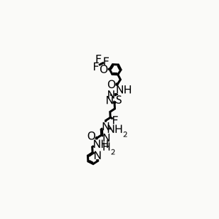 N/C(=C\N(N)CC(F)CCc1nnc(NC(=O)Cc2cccc(OC(F)(F)F)c2)s1)C(=O)NCc1ccccn1